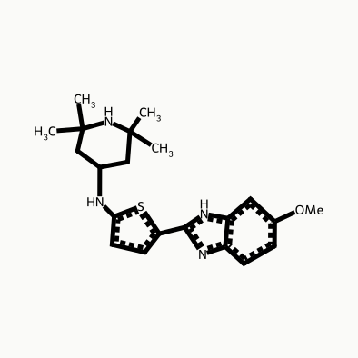 COc1ccc2nc(-c3ccc(NC4CC(C)(C)NC(C)(C)C4)s3)[nH]c2c1